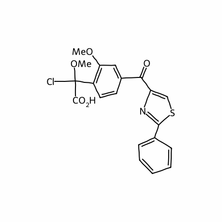 COc1cc(C(=O)c2csc(-c3ccccc3)n2)ccc1C(Cl)(OC)C(=O)O